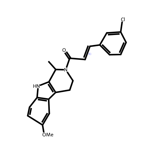 COc1ccc2[nH]c3c(c2c1)CCN(C(=O)/C=C/c1cccc(Cl)c1)C3C